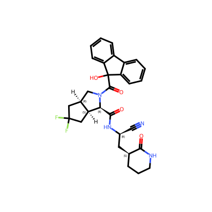 N#C[C@@H](C[C@@H]1CCCNC1=O)NC(=O)[C@H]1[C@H]2CC(F)(F)C[C@H]2CN1C(=O)C1(O)c2ccccc2-c2ccccc21